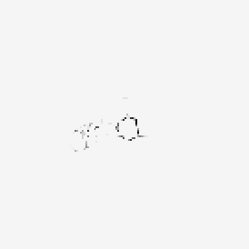 CN1C2CCC1CC(Oc1ccc(C(=O)O)cc1F)C2